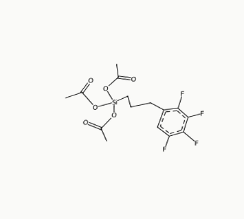 CC(=O)O[Si](CCCc1cc(F)c(F)c(F)c1F)(OC(C)=O)OC(C)=O